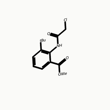 COC(=O)c1cccc(C(C)(C)C)c1NC(=O)CCl